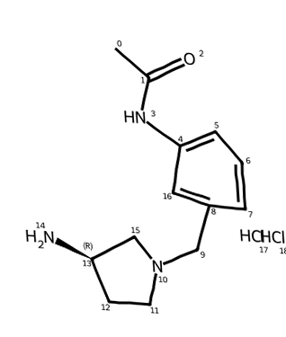 CC(=O)Nc1cccc(CN2CC[C@@H](N)C2)c1.Cl.Cl